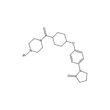 CC(C)N1CCN(C(=O)C2CCC(Oc3ccc(N4CCCC4=O)cc3)CC2)CC1